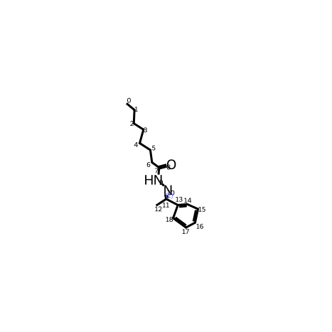 CCCCCCCC(=O)N/N=C(\C)c1ccccc1